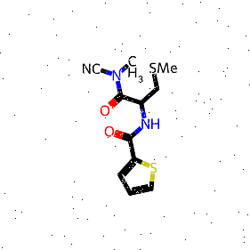 CSCC(NC(=O)c1cccs1)C(=O)N(C)C#N